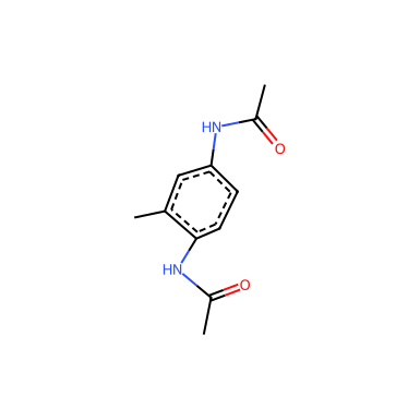 CC(=O)Nc1ccc(NC(C)=O)c(C)c1